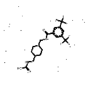 O=C(O)NCC1CCC(CNC(=O)c2cc(C(F)(F)F)cc(C(F)(F)F)c2)CC1